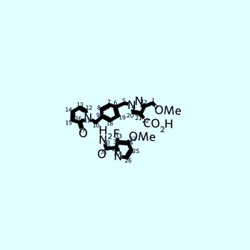 COCc1nn(Cc2ccc(Cn3ccccc3=O)cc2)cc1C(=O)O.COc1ccnc(C(N)=O)c1F